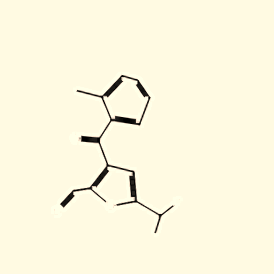 Cc1ccccc1C(=O)c1cc(C(C)F)oc1C=O